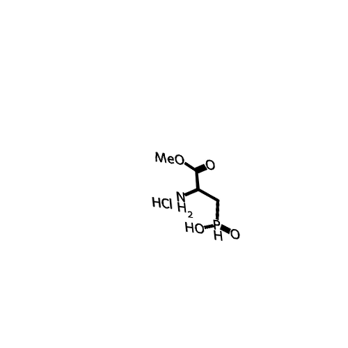 COC(=O)C(N)C[PH](=O)O.Cl